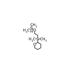 C[SiH](C)OCC[Si](C)(C)C1CCCCO1